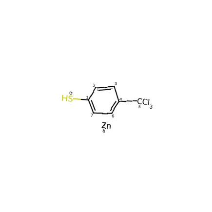 Sc1ccc(C(Cl)(Cl)Cl)cc1.[Zn]